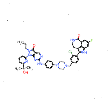 C=CCn1c(=O)c2cnc(Nc3ccc(N4CCN(Cc5ccc(-c6[nH]c7cc(F)cc8c7c6CCNC8=O)c(Cl)c5)CC4)cc3)nc2n1-c1cccc(C(C)(C)O)n1